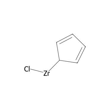 [Cl][Zr][CH]1C=CC=C1